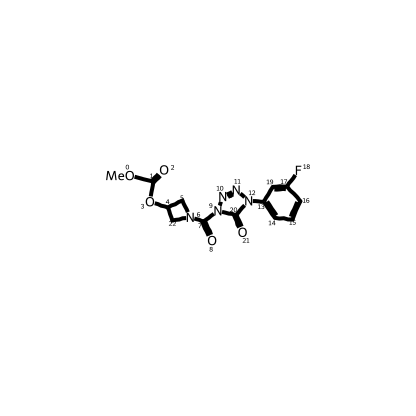 COC(=O)OC1CN(C(=O)n2nnn(-c3cccc(F)c3)c2=O)C1